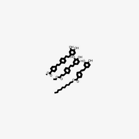 CCCCCCCCCCOC(=O)c1ccc(C=Cc2ccc(O)c(O)c2)cc1.CCOC(=O)C=Cc1ccc(C=Cc2ccc(O)c(O)c2)cc1.COC(=O)c1ccc(C=Cc2ccc(C=Cc3ccc(O)c(O)c3)cc2)cc1